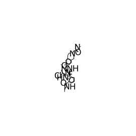 CCNC(=O)c1cccc(F)c1Nc1nc(Nc2cc3c(cc2OC)CCN(CC(=O)N(C)C)CC3)ncc1Cl